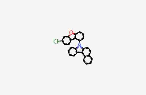 Clc1ccc2c(c1)oc1cccc(-n3c4ccccc4c4c5ccccc5ccc43)c12